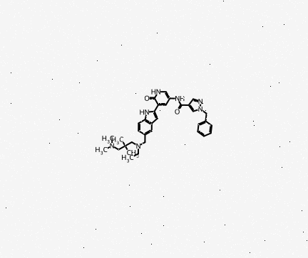 CCN(Cc1ccc2[nH]c(-c3cc(NC(=O)c4cnn(Cc5ccccc5)c4)c[nH]c3=O)cc2c1)CC(C)(C)CN(C)C